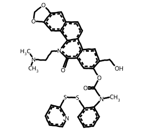 CN(C)CCn1c(=O)c2cc(OC(=O)N(C)c3ccccc3SSc3ccccn3)c(CO)cc2c2ccc3cc4c(cc3c21)OCO4